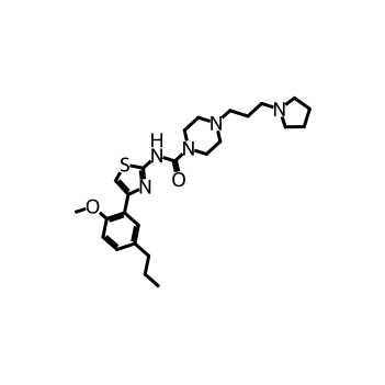 CCCc1ccc(OC)c(-c2csc(NC(=O)N3CCN(CCCN4CCCC4)CC3)n2)c1